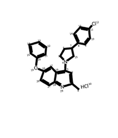 Cc1cc(N2CCC(c3ccc(Cl)cc3)C2)c2cc(Oc3ccccc3)ccc2n1.Cl